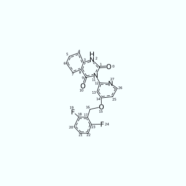 O=c1[nH]c2ccccc2c(=O)n1-c1cc(OCc2c(F)cccc2F)ccn1